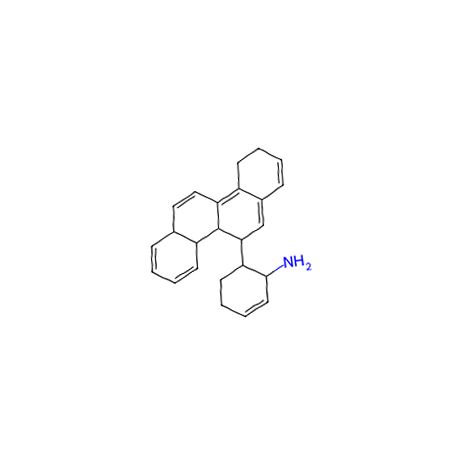 NC1C=CCCC1C1C=C2C=CCCC2=C2C=CC3C=CC=CC3C21